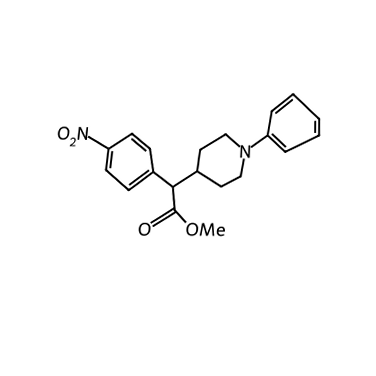 COC(=O)C(c1ccc([N+](=O)[O-])cc1)C1CCN(c2ccccc2)CC1